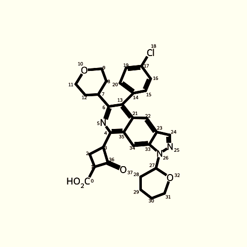 O=C(O)C1CC(c2nc(C3CCOCC3)c(-c3ccc(Cl)cc3)c3cc4cnn(C5CCCCO5)c4cc23)C1=O